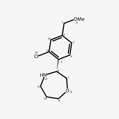 COCc1ccc([C@@H]2COCCCN2)c(Cl)c1